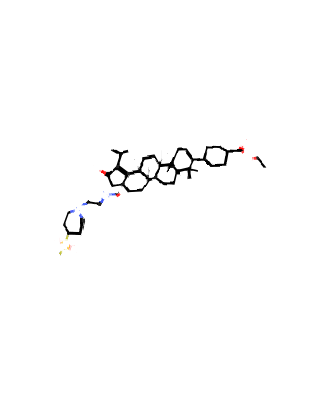 CCOC(=O)C1CC=C(C2=CCC3(C)[C@H]4CC[C@@H]5C6=C(C(C)C)C(=O)C[C@]6(C(=O)NCCN6CCC(S(C)(=O)=O)CC6)CC[C@@]5(C)[C@]4(C)CC[C@H]3C2(C)C)CC1